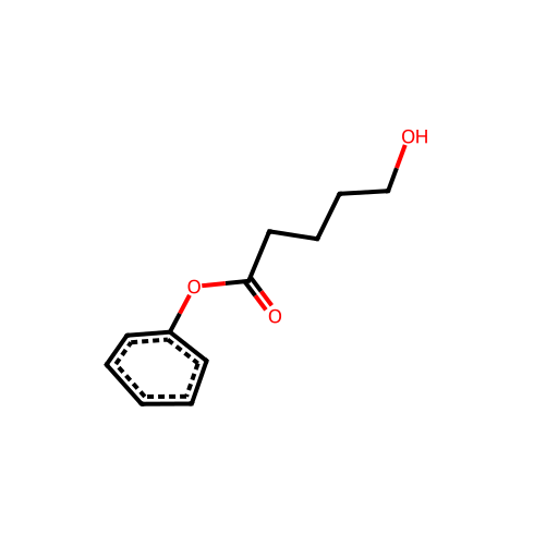 O=C(CCCCO)Oc1ccccc1